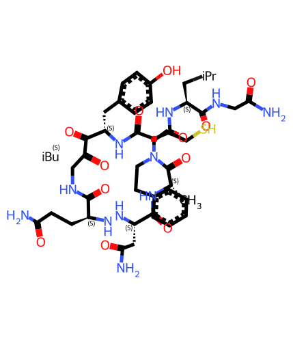 CC[C@H](C)C(NC(=O)[C@H](CCC(N)=O)NN[C@@H](CC(N)=O)C(=O)N[C@@H](C)C(=O)N(CCc1ccccc1)CC(=O)N[C@@H](CC(C)C)C(=O)NCC(N)=O)C(=O)C(=O)[C@H](Cc1ccc(O)cc1)NC(=O)CCCS